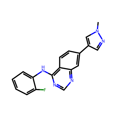 Cn1cc(-c2ccc3c(Nc4ccccc4F)ncnc3c2)cn1